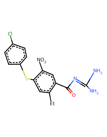 CCc1cc(Sc2ccc(Cl)cc2)c([N+](=O)[O-])cc1C(=O)N=C(N)N